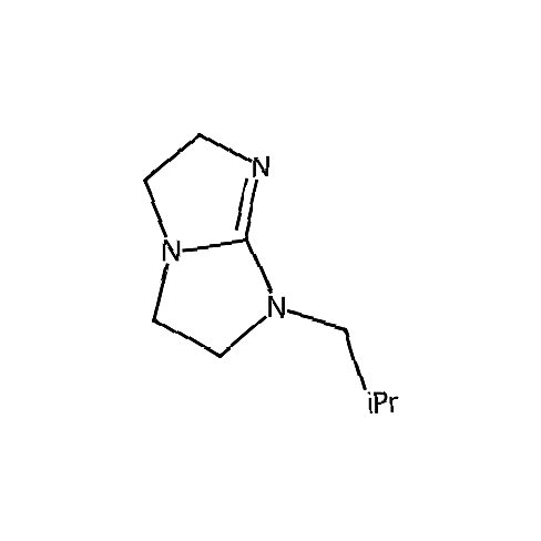 CC(C)CN1CCN2CCN=C21